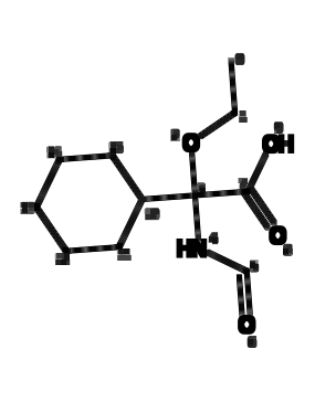 CCOC(NC=O)(C(=O)O)C1CCCCC1